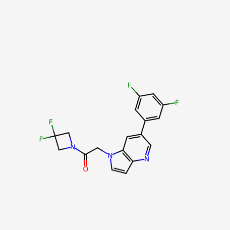 O=C(Cn1ccc2ncc(-c3cc(F)cc(F)c3)cc21)N1CC(F)(F)C1